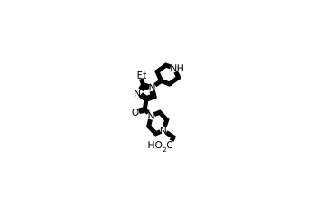 CCc1nc(C(=O)N2CCN(CC(=O)O)CC2)cn1C1CCNCC1